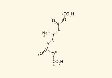 O=C(O)OC(=O)CCCCC(=O)OC(=O)O.[NaH]